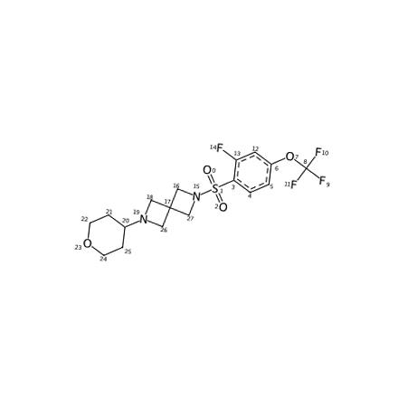 O=S(=O)(c1ccc(OC(F)(F)F)cc1F)N1CC2(CN(C3CCOCC3)C2)C1